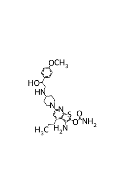 CCCc1cc(N2CCC(NCC(O)c3ccc(OC)cc3)CC2)nc2sc(OC(N)=O)c(N)c12